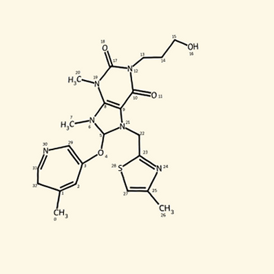 CC1=CC(OC2N(C)c3c(c(=O)n(CCCO)c(=O)n3C)N2Cc2nc(C)cs2)=CN=CC1